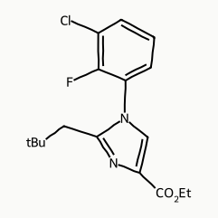 CCOC(=O)c1cn(-c2cccc(Cl)c2F)c(CC(C)(C)C)n1